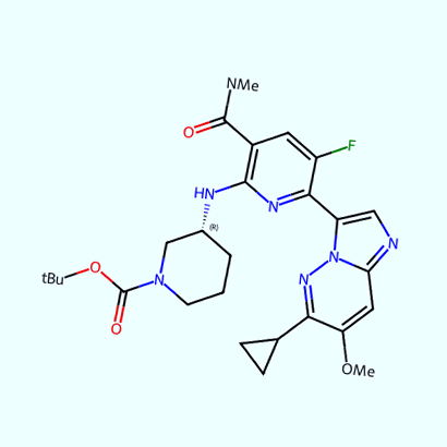 CNC(=O)c1cc(F)c(-c2cnc3cc(OC)c(C4CC4)nn23)nc1N[C@@H]1CCCN(C(=O)OC(C)(C)C)C1